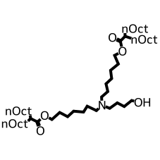 CCCCCCCCC(CCCCCCCC)C(=O)OCCCCCCCN(CCCCO)CCCCCCCOC(=O)C(CCCCCCCC)CCCCCCCC